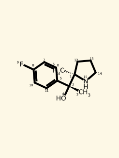 C[C@]1([C@](C)(O)c2ccc(F)cc2)CCCN1